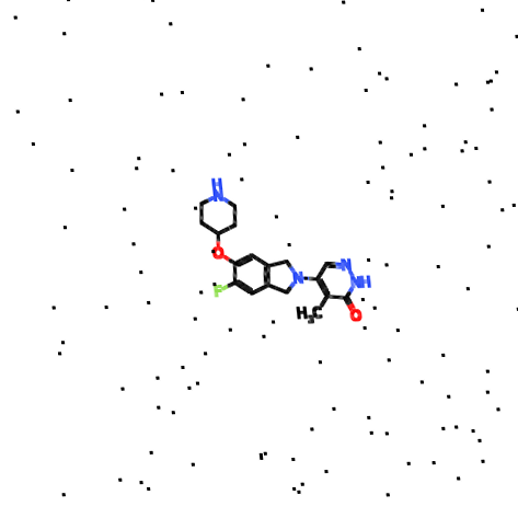 Cc1c(N2Cc3cc(F)c(OC4CCNCC4)cc3C2)cn[nH]c1=O